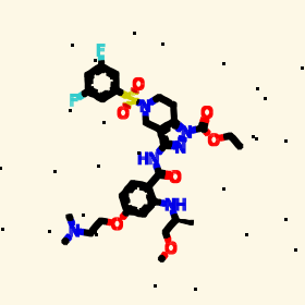 CCOC(=O)n1nc(NC(=O)c2ccc(OCCN(C)C)cc2N[C@@H](C)COC)c2c1CCN(S(=O)(=O)c1cc(F)cc(F)c1)C2